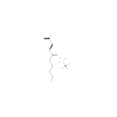 CCCCCC(/C=C/C(=O)O)O[Si](C)(C)C(C)(C)C